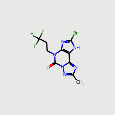 Cc1nc2c3[nH]c(Br)nc3n(CCC(F)(F)F)c(=O)n2n1